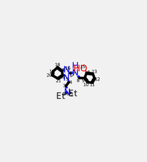 CCN(CC)CCn1c(NCc2ccccc2O)nc2ccccc21